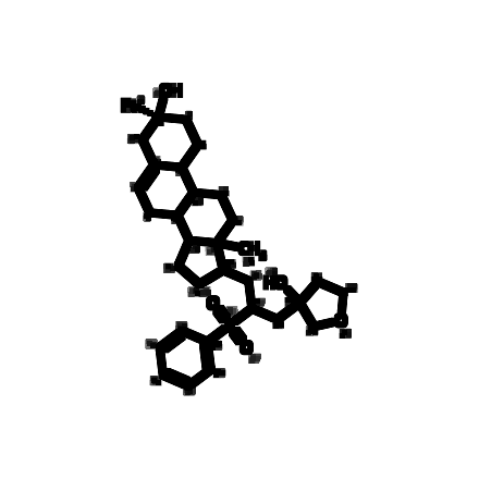 CC[C@]1(O)CCC2C(=CCC3C2CCC2(C)C(CC(CC4(O)CCOC4)S(=O)(=O)c4ccccc4)CCC32)C1